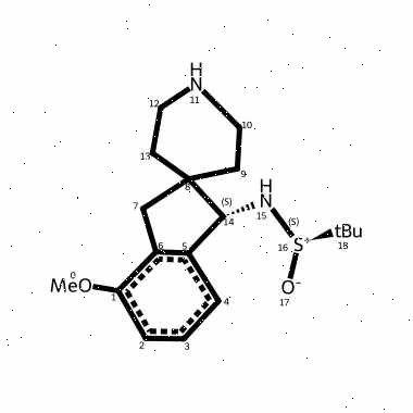 COc1cccc2c1CC1(CCNCC1)[C@@H]2N[S@+]([O-])C(C)(C)C